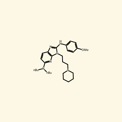 CCCCN(CCCC)c1ccc2nc(Nc3ccc(OC)cc3)n(CCCN3CCCCC3)c2n1